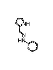 C(=NNc1ccccc1)c1ccc[nH]1